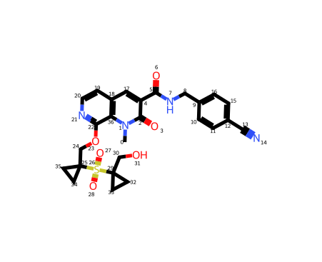 Cn1c(=O)c(C(=O)NCc2ccc(C#N)cc2)cc2ccnc(OCC3(S(=O)(=O)C4(CO)CC4)CC3)c21